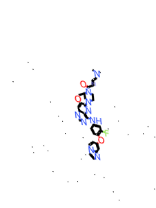 CN(C)C/C=C/C(=O)N1CCN2CC1COc1cc3ncnc(Nc4ccc(Oc5ccn6ccnc6c5)c(F)c4)c3nc12